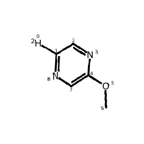 [2H]c1cnc(OC)cn1